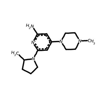 CC1CCCN1c1cc(N2CCN(C)CC2)cc(N)n1